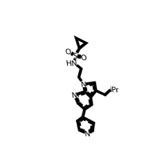 CC(C)Cc1cn(CCNS(=O)(=O)C2CC2)c2ncc(-c3ccncc3)cc12